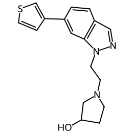 OC1CCN(CCn2ncc3ccc(-c4ccsc4)cc32)C1